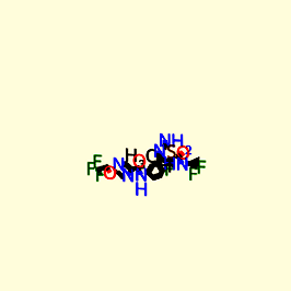 C[C@]1(c2cc(NC(=O)c3cnc(OCC(F)(F)F)cn3)ccc2F)N=C(N)S[C@@]2(C(=O)NC3CC3(F)F)C[C@H]21